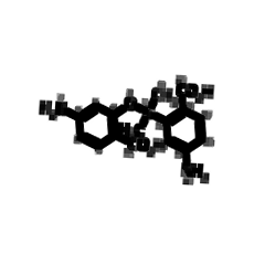 C[Si](C)(Oc1cc(N)ccc1C(=O)O)c1cc(N)ccc1C(=O)O